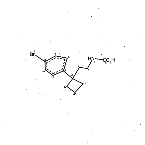 O=C(O)NCCC1(c2ccc(Br)cc2)CCC1